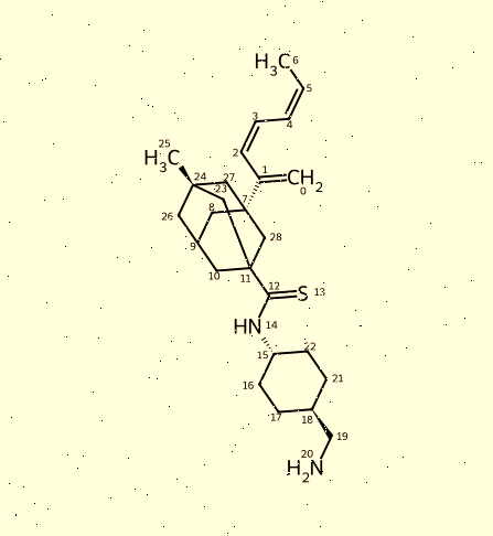 C=C(/C=C\C=C/C)[C@]12CC3CC(C(=S)N[C@H]4CC[C@H](CN)CC4)(C[C@](C)(C3)C1)C2